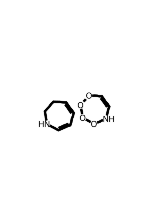 C1=CCCNC=C1.C1=COOOON1